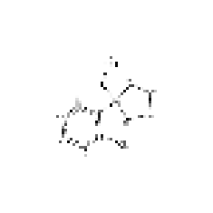 OCC1(c2nccnc2Cl)CCCC1